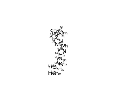 O=C(O)c1cc2cnc(Nc3ccc(N4CCN(C[C@H](O)CO)CC4)cn3)nc2n1C1CCCC1